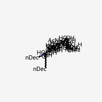 CCCCCCCCCCCCC/C=C/[C@@H](O)[C@H](CO[C@@H]1OC(CO)[C@@H](O[C@@H]2OC(CO)[C@H](O)[C@H](O[C@H]3OC(CO)[C@H](O)[C@H](O[C@@H]4OC(CO)[C@H](O)[C@H](O[C@@H]5OC(CO[C@]6(C(=O)O)CC(O)[C@@H](NC(C)=O)C([C@H](O)[C@H](O)CO)O6)[C@H](O)[C@H](O)C5O)C4NC(C)=O)C3O)C2O)[C@H](O)C1O)NC(=O)CCCCCCCCCCCCCCCCCCC